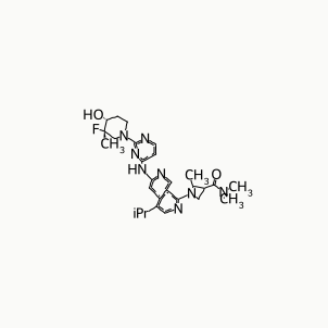 CC(C)c1cnc(N2CC(C(=O)N(C)C)C2C)c2cnc(Nc3ccnc(N4CC[C@@H](O)[C@@](C)(F)C4)n3)cc12